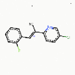 N#C/C(=C\c1ccccc1F)c1ccc(Cl)cn1